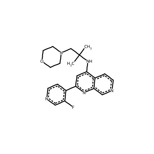 CC(C)(CN1CCOCC1)Nc1cc(-c2ccncc2F)nc2cnccc12